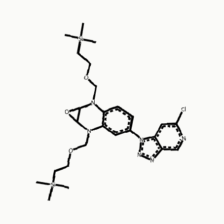 C[Si](C)(C)CCOCN1c2ccc(-n3nnc4cnc(Cl)cc43)cc2N(COCC[Si](C)(C)C)C2OC21